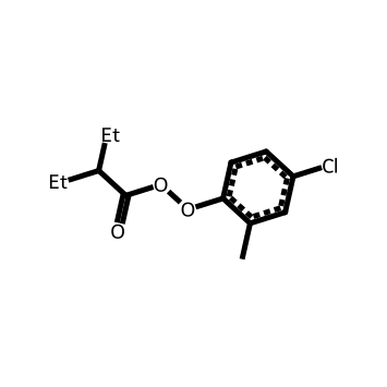 CCC(CC)C(=O)OOc1ccc(Cl)cc1C